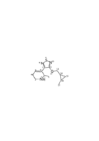 CC1NCCC=C1c1nsnc1OCC1CC1C